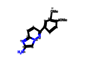 COc1ccc(-c2ccc3nc(N)cn3n2)cc1OC